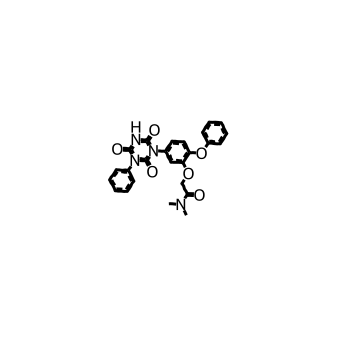 CN(C)C(=O)COc1cc(-n2c(=O)[nH]c(=O)n(-c3ccccc3)c2=O)ccc1Oc1ccccc1